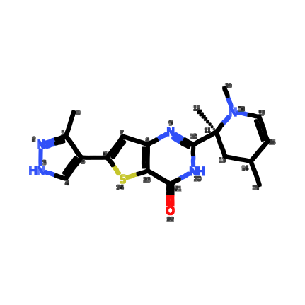 Cc1n[nH]cc1-c1cc2nc([C@]3(C)CC(C)C=CN3C)[nH]c(=O)c2s1